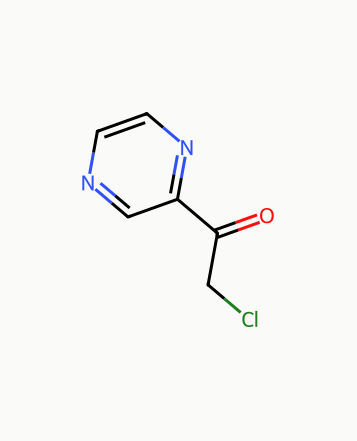 O=C(CCl)c1cnccn1